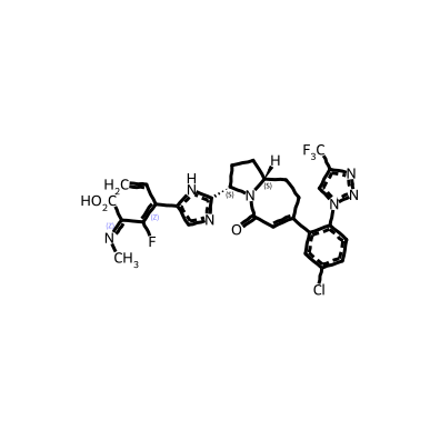 C=C/C(=C(F)\C(=N/C)C(=O)O)c1cnc([C@@H]2CC[C@@H]3CCC(c4cc(Cl)ccc4-n4cc(C(F)(F)F)nn4)=CC(=O)N32)[nH]1